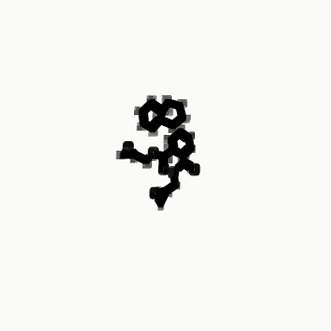 O=C(OCC1CO1)c1ccccc1C(=O)OCC1CO1.c1ccc2c(c1)CCCC2